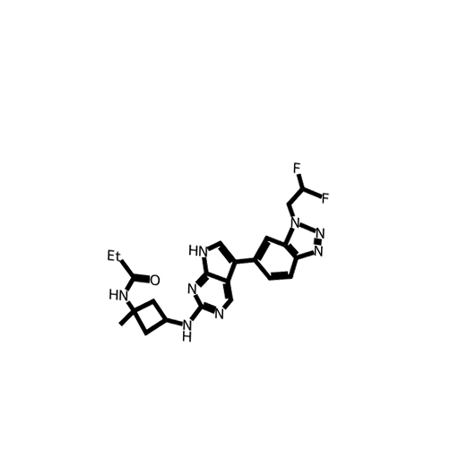 CCC(=O)NC1(C)CC(Nc2ncc3c(-c4ccc5nnn(CC(F)F)c5c4)c[nH]c3n2)C1